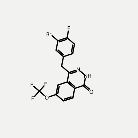 O=c1[nH]nc(Cc2ccc(F)c(Br)c2)c2cc(OC(F)(F)F)ccc12